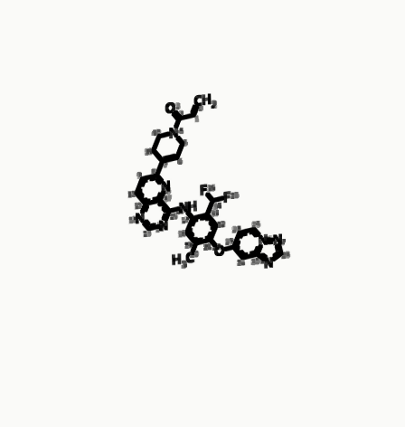 C=CC(=O)N1CC=C(c2ccc3ncnc(Nc4cc(C)c(Oc5ccn6ncnc6c5)cc4C(F)F)c3n2)CC1